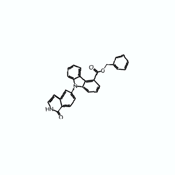 O=C(OCc1ccccc1)c1cccc2c1c1ccccc1n2-c1ccc2c(=O)[nH]ccc2c1